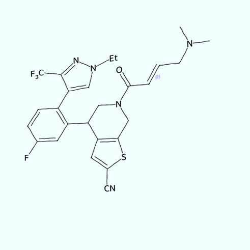 CCn1cc(-c2ccc(F)cc2C2CN(C(=O)/C=C/CN(C)C)Cc3sc(C#N)cc32)c(C(F)(F)F)n1